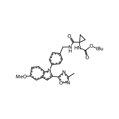 COc1ccc2c(c1)cc(-c1nc(C)no1)n2-c1ccc(CNC(=O)C2(NC(=O)OC(C)(C)C)CC2)cc1